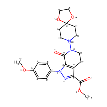 COC(=O)c1nn(-c2ccc(OC)cc2)c2c1CCN(N1CCC3(CC1)OCCO3)C2=O